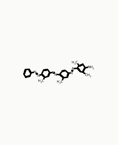 Cc1cc(N=Nc2ccc(N=Nc3ccc(N=Nc4ccccc4)c(C)c3)c(C)c2)c(C)cc1N